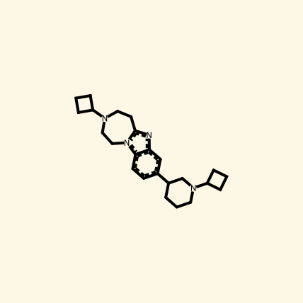 c1cc2c(cc1C1CCCN(C3CCC3)C1)nc1n2CCN(C2CCC2)CC1